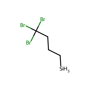 [SiH3]CCCC(Br)(Br)Br